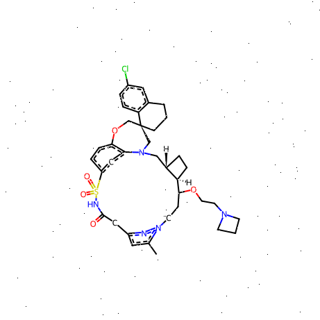 Cc1cc2nn1CCC(OCCN1CCC1)[C@@H]1CC[C@H]1CN1C[C@@]3(CCCc4cc(Cl)ccc43)COc3ccc(cc31)S(=O)(=O)NC(=O)C2